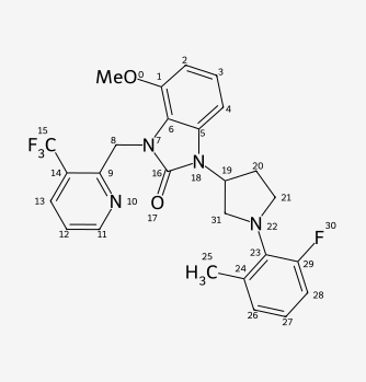 COc1cccc2c1n(Cc1ncccc1C(F)(F)F)c(=O)n2C1CCN(c2c(C)cccc2F)C1